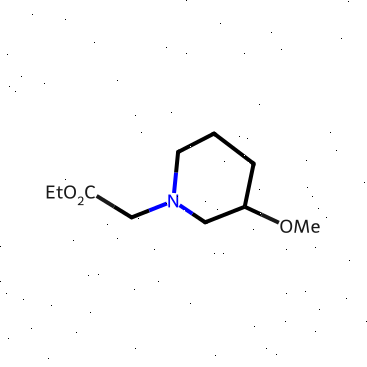 CCOC(=O)CN1CCCC(OC)C1